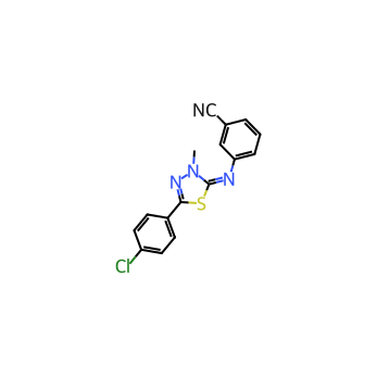 Cn1nc(-c2ccc(Cl)cc2)s/c1=N/c1cccc(C#N)c1